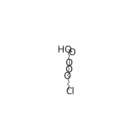 O=C(O)CCCCOCCOCCOCCCCCCCl